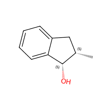 C[C@H]1Cc2ccccc2[C@H]1O